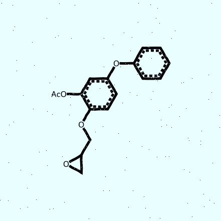 CC(=O)Oc1cc(Oc2ccccc2)ccc1OCC1CO1